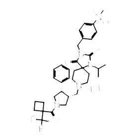 CC(C)N1C(=O)N(Cc2ccc(S(C)(=O)=O)cc2)C(=O)C12CCN(C[C@H]1CN(C(=O)C3(C(F)(F)F)CCC3)C[C@@H]1c1ccccc1)CC2.Cl